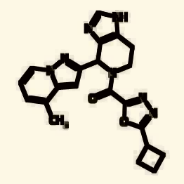 Cc1cccn2nc(C3c4nc[nH]c4CCN3C(=O)c3nnc(C4CCC4)o3)cc12